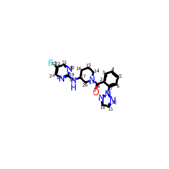 O=C(c1ccccc1-n1nccn1)N1CCCC(Nc2ncc(F)cn2)C1